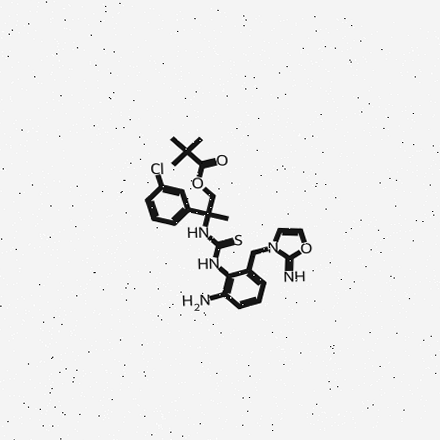 CC(C)(C)C(=O)OCC(C)(NC(=S)Nc1c(N)cccc1Cn1ccoc1=N)c1cccc(Cl)c1